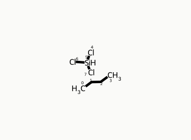 CCCC.Cl[SiH](Cl)Cl